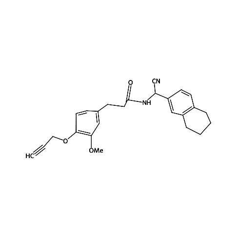 C#CCOc1ccc(CCC(=O)NC(C#N)c2ccc3c(c2)CCCC3)cc1OC